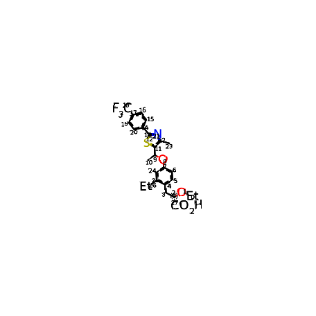 CCO[C@@H](Cc1ccc(OC(C)c2sc(-c3ccc(C(F)(F)F)cc3)nc2C)cc1CC)C(=O)O